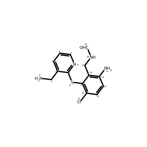 NCc1cccnc1Sc1c(Cl)ccc(N)c1CNC=O